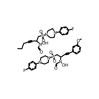 CCCC#CC(CS(=O)(=O)N1CCN(c2ccc(F)cc2)CC1)N(O)C=O.COc1cccc(C#CC(CS(=O)(=O)N2CCN(c3ccc(F)cc3)CC2)N(O)C=O)c1